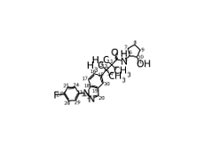 CC(C)(C(=O)NC1CCCC1O)C(C)(C)c1ccc2c(cnn2-c2ccc(F)cc2)c1